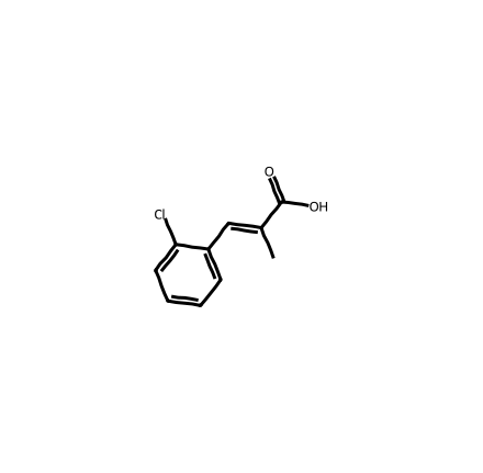 C/C(=C\c1ccccc1Cl)C(=O)O